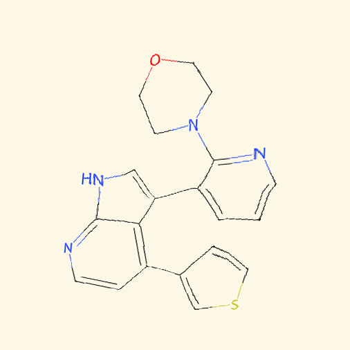 c1cnc(N2CCOCC2)c(-c2c[nH]c3nccc(-c4ccsc4)c23)c1